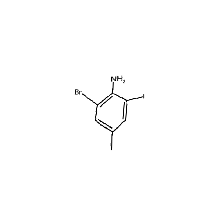 Cc1cc(Br)c(N)c(I)c1